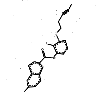 CC#CCCOc1cccc(NC(=O)c2ccc3nc(C)ccc3c2)c1F